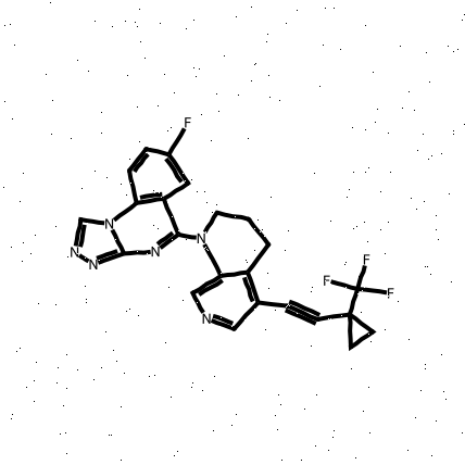 Fc1ccc2c(c1)c(N1CCCc3c(C#CC4(C(F)(F)F)CC4)cncc31)nc1nncn12